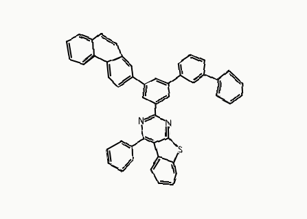 c1ccc(-c2cccc(-c3cc(-c4ccc5c(ccc6ccccc65)c4)cc(-c4nc(-c5ccccc5)c5c(n4)sc4ccccc45)c3)c2)cc1